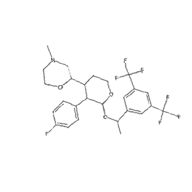 CC(OC1OCCC(C2CN(C)CCO2)C1c1ccc(F)cc1)c1cc(C(F)(F)F)cc(C(F)(F)F)c1